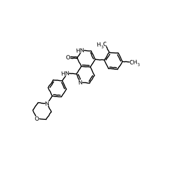 Cc1ccc(-c2c[nH]c(=O)c3c(Nc4ccc(N5CCOCC5)cc4)nccc23)c(C)c1